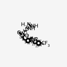 N=C(N)NOCCN1C(=O)SC(=Cc2ccc3c(cnn3Cc3ccc(C(F)(F)F)cc3C(F)(F)F)c2)C1=O